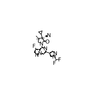 C[C@@H]1CN(c2nc(-c3cnn(C(F)F)c3)cn3ncc(F)c23)C(=O)[C@]1(C#N)C1CC1